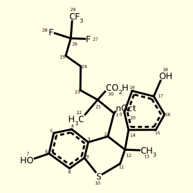 CCCCCCCCC(C1c2ccc(O)cc2SCC1(C)c1ccc(O)cc1)C(C)(CCCC(F)(F)C(F)(F)F)C(=O)O